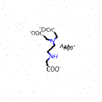 O=C([O-])CNCCN(CC(=O)[O-])CC(=O)[O-].[Ag+].[Ag+].[Ag+]